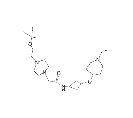 CCN1CCC(OC2CC(NC(=O)CN3CCN(CCOC(C)(C)C)CC3)C2)CC1